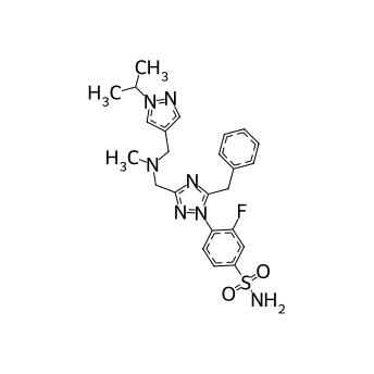 CC(C)n1cc(CN(C)Cc2nc(Cc3ccccc3)n(-c3ccc(S(N)(=O)=O)cc3F)n2)cn1